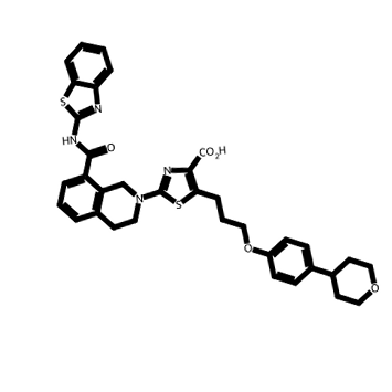 O=C(Nc1nc2ccccc2s1)c1cccc2c1CN(c1nc(C(=O)O)c(CCCOc3ccc(C4CCOCC4)cc3)s1)CC2